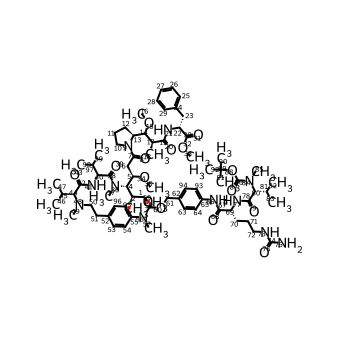 CC[C@@H](C)[C@@H]([C@@H](CC(=O)N1CCC[C@H]1[C@@H](OC)[C@H](C)C(=O)N[C@H](Cc1ccccc1)C(=O)OC)OC)N(C)C(=O)[C@@H](NC(=O)[C@H](C(C)C)N(C)CCc1ccc(N(C)C(=O)OCc2ccc(NC(=O)[C@@H](CCCNC(N)=O)NC(=O)[C@@H](C(C)C)N(C)C(=O)OC(C)(C)C)cc2)cc1)C(C)C